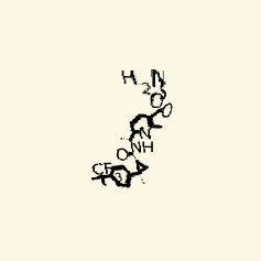 Cc1nc([C@@H](C)NC(=O)[C@@H]2C[C@@]2(C)c2ccc(C(C)(C)C(F)(F)F)cc2)ccc1C(=O)OSN